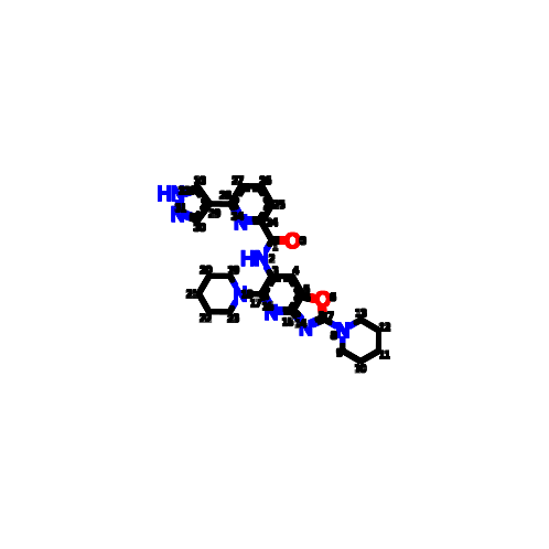 O=C(Nc1cc2oc(N3CCCCC3)nc2nc1N1CCCCC1)c1cccc(-c2cn[nH]c2)n1